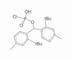 Cc1ccc(C(OP(=O)(O)Cl)c2ccc(C)cc2C(C)(C)C)c(C(C)(C)C)c1